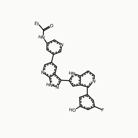 CCC(=O)Nc1cncc(-c2cnc3[nH]nc(-c4cc5c(-c6cc(O)cc(F)c6)nccc5[nH]4)c3c2)c1